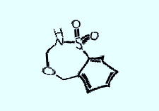 O=S1(=O)NCOCc2ccccc21